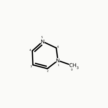 CN1[C]=CC=NC1